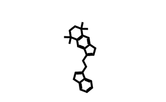 CC1(C)CCC(C)(C)c2cc3c(cc21)CC=C3CCC1=CCc2ccccc21